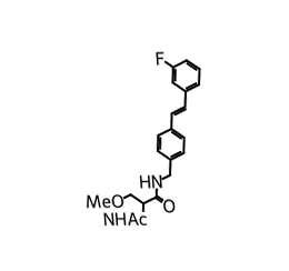 COCC(NC(C)=O)C(=O)NCc1ccc(C=Cc2cccc(F)c2)cc1